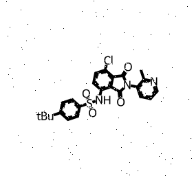 Cc1ncccc1N1C(=O)c2c(Cl)ccc(NS(=O)(=O)c3ccc(C(C)(C)C)cc3)c2C1=O